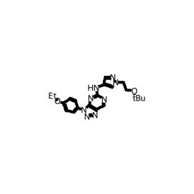 CCOc1ccc(-n2nnc3cnc(Nc4cnn(CCOC(C)(C)C)c4)nc32)cc1